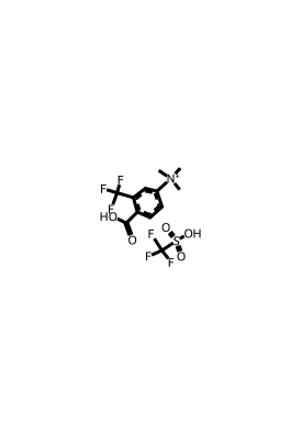 C[N+](C)(C)c1ccc(C(=O)O)c(C(F)(F)F)c1.O=S(=O)(O)C(F)(F)F